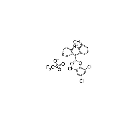 C[n+]1c2ccccc2c(C(=O)Oc2c(Cl)cc(Cl)cc2Cl)c2ccccc21.O=S(=O)([O-])C(F)(F)F